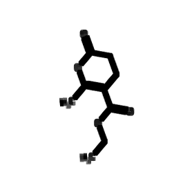 CCOC(=O)C1=C(C)OC(=O)CC1